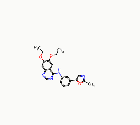 CCOc1cc2ncnc(Nc3cccc(-c4cnc(C)o4)c3)c2cc1OCC